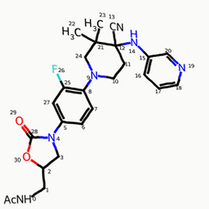 CC(=O)NCC1CN(c2ccc(N3CCC(C#N)(Nc4cccnc4)C(C)(C)C3)c(F)c2)C(=O)O1